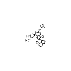 CN1CCC[C@H]1COc1nc(N2CCN[C@@H](CC#N)C2)c2nc(C(F)(F)F)n(-c3cccc4cccc(Cl)c34)c(=O)c2n1